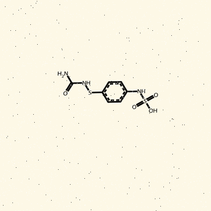 NC(=O)NSc1ccc(NS(=O)(=O)O)cc1